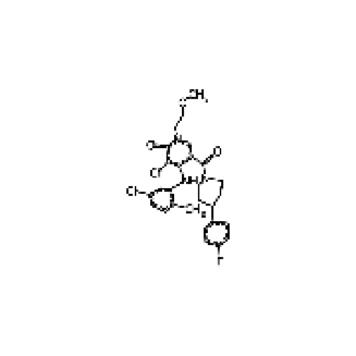 COCCn1cc(C(=O)N2CCC(c3ccc(F)cc3)CC2)c(Nc2cc(Cl)ccc2C)c(Cl)c1=O